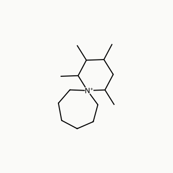 CC1CC(C)[N+]2(CCCCCC2)C(C)C1C